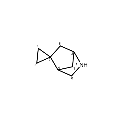 C1NC2CC1C1(CC1)C2